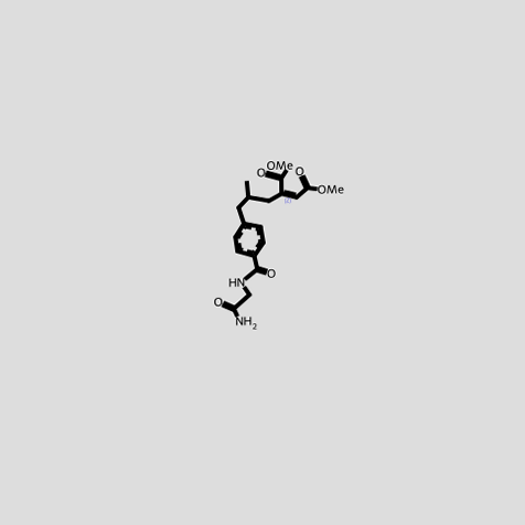 COC(=O)/C=C(/CC(C)Cc1ccc(C(=O)NCC(N)=O)cc1)C(=O)OC